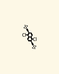 CS(C)(C)C#Cc1ccc2c(Cl)c(C#CS(C)(C)C)ccc2c1Cl